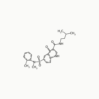 Cc1ccccc1N(C)S(=O)(=O)c1ccc2[nH]cc(C(=O)NCCC(C)C)c(=O)c2c1